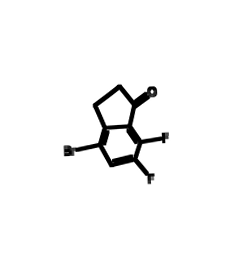 O=C1CCc2c(Br)cc(F)c(F)c21